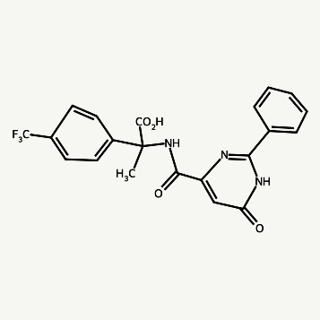 CC(NC(=O)c1cc(=O)[nH]c(-c2ccccc2)n1)(C(=O)O)c1ccc(C(F)(F)F)cc1